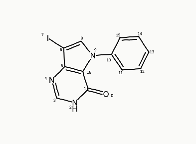 O=c1[nH]cnc2c(I)cn(-c3ccccc3)c12